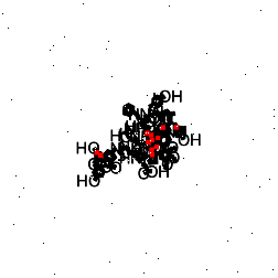 COc1cc2c(c(OC)c1OC)-c1ccc(NC(=O)[C@H](Cc3ccc(O)cc3)N3C(=O)[C@@H](NC(=O)[C@H](Cc4ccc(O)cc4)NC(=O)[C@H](CCc4ccccc4)NC(=O)CNC(=O)[C@H](CCCNC(N)=O)NC(=O)[C@@H]4CCCN4C(=O)[C@H](CCC(=O)O)NC(=O)CCNC(=S)Nc4ccc5c(c4)C(=O)OC54c5ccc(O)cc5Oc5cc(O)ccc54)CC3C)c(=O)cc1[C@@H](NC(C)=O)CC2